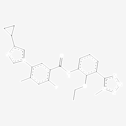 CCOc1c(NC(=O)c2cc(-n3cnc(C4CC4)c3)c(C)cc2F)cccc1-c1nnnn1C